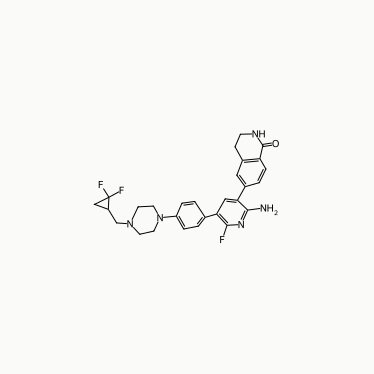 Nc1nc(F)c(-c2ccc(N3CCN(CC4CC4(F)F)CC3)cc2)cc1-c1ccc2c(c1)CCNC2=O